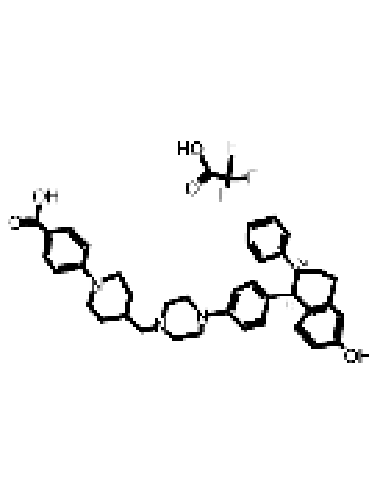 O=C(O)C(F)(F)F.O=C(O)c1ccc(N2CCC(CN3CCN(c4ccc([C@@H]5c6ccc(O)cc6CC[C@@H]5c5ccccc5)cc4)CC3)CC2)cc1